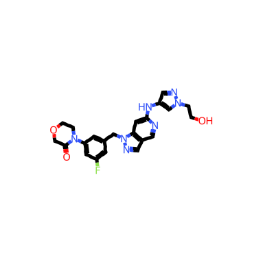 O=C1COCCN1c1cc(F)cc(Cn2ncc3cnc(Nc4cnn(CCO)c4)cc32)c1